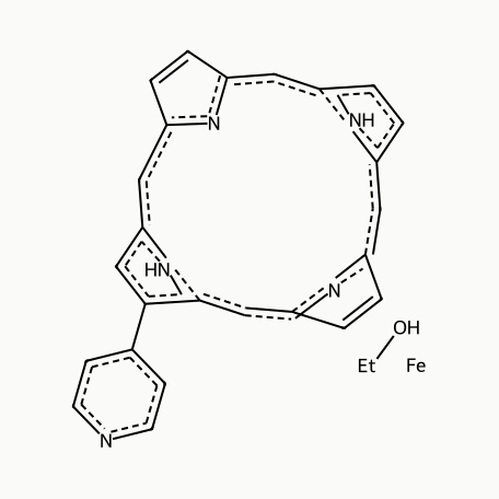 C1=Cc2cc3cc(-c4ccncc4)c(cc4nc(cc5ccc(cc1n2)[nH]5)C=C4)[nH]3.CCO.[Fe]